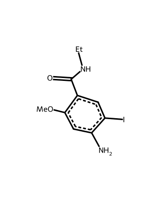 CCNC(=O)c1cc(I)c(N)cc1OC